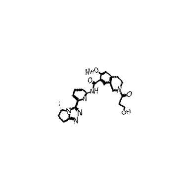 COc1cc2c(cc1C(=O)Nc1cccc(-c3nnc4n3[C@@H](C)CC4)n1)CN(C(=O)CCO)CC2